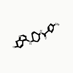 CSc1ccc(C(=O)NC2CCC(Nc3ccnc4cc(Cl)ccc34)CC2)cc1